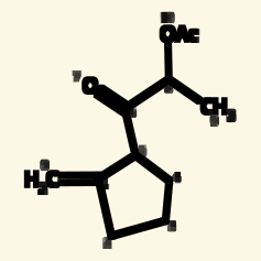 C=C1CCCC1C(=O)C(C)OC(C)=O